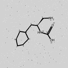 NC[C@H](CC1CCCCC1)NC(=O)O